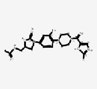 CC(=O)NCC1CN(c2ccc(N3CCN(C(=S)c4cnc(C)o4)CC3)c(F)c2)C(=O)O1